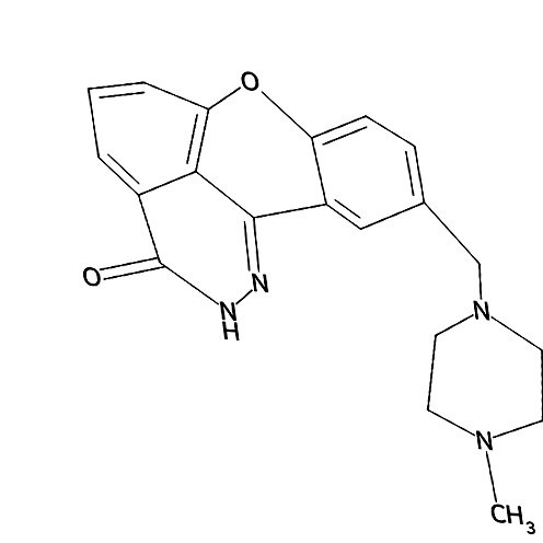 CN1CCN(Cc2ccc3c(c2)-c2n[nH]c(=O)c4cccc(c24)O3)CC1